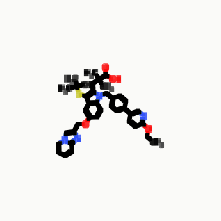 CCOc1ccc(-c2ccc(Cn3c(CC(C)(C)C(=O)O)c(SC(C)(C)C)c4cc(OCc5cn6ccccc6n5)ccc43)cc2)cn1